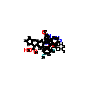 CC(C)(C)OC(=O)N(c1ccc(C(C(=O)O)C2CCCC2)cc1)C1(c2ccccc2)c2cc(C(=O)c3ccc(F)cc3F)c(N)n1c2=O